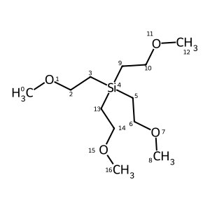 COCC[Si](CCOC)(CCOC)CCOC